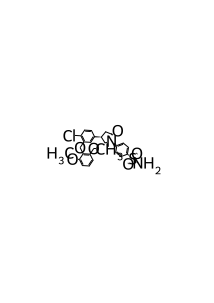 COc1cccc(OC)c1Oc1cc([C@H]2CC(=O)N(c3ccc(S(N)(=O)=O)cc3)C2)ccc1Cl